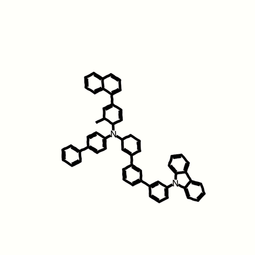 CC1C=C(c2cccc3ccccc23)C=CC1N(c1ccc(-c2ccccc2)cc1)C1C=C(c2cccc(-c3cccc(-n4c5ccccc5c5ccccc54)c3)c2)C=CC1